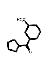 O=C(O)C1CCCC(C(=O)C2CCCC2)C1